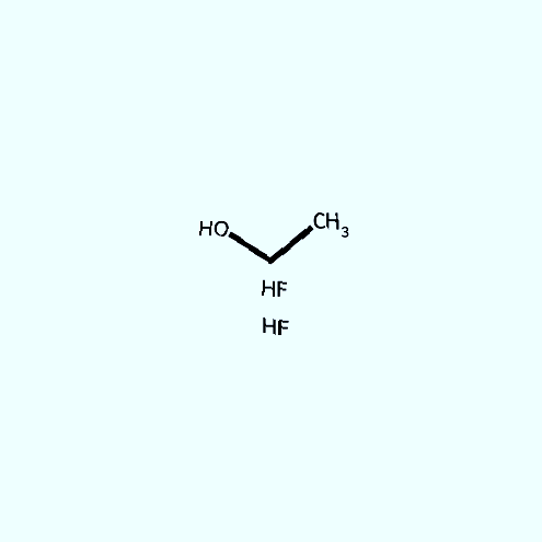 CCO.F.F